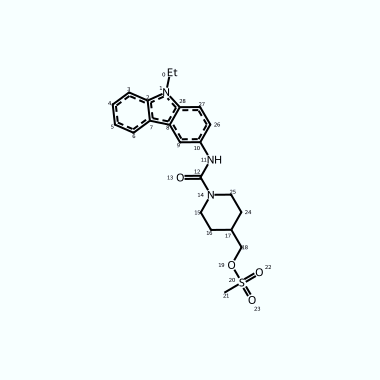 CCn1c2ccccc2c2cc(NC(=O)N3CCC(COS(C)(=O)=O)CC3)ccc21